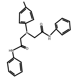 Cc1ccc(N(CC(=O)Nc2ccccc2)CC(=O)Nc2ccccc2)cc1